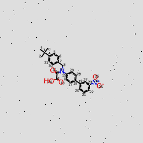 CC(C)(C)c1ccc(CN(C(=O)C(=O)O)c2ccc(-c3cccc([N+](=O)[O-])c3)cc2)cc1